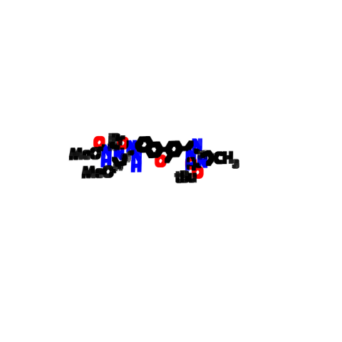 COC[C@H]1C[C@@H](c2nc3ccc4cc5c(cc4c3[nH]2)OCc2cc(-c3cnc([C@@H]4C[C@H](C)CN4C(=O)OC(C)(C)C)[nH]3)ccc2-5)N(C(=O)[C@@H](NC(=O)OC)C(C)C)C1